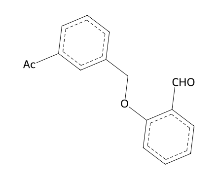 CC(=O)c1cccc(COc2ccccc2C=O)c1